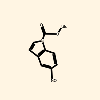 CC(C)(C)OC(=O)n1ccc2cc(N=O)ccc21